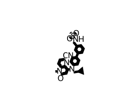 Cn1c(=O)cc(N(CC2CC2)c2ccc(-c3cccc(CNS(C)(=O)=O)c3)cc2)c2nc(C#N)ccc21